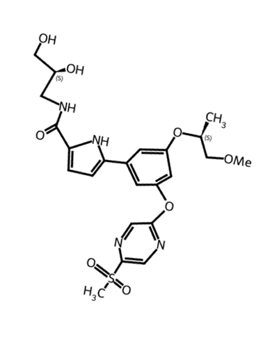 COC[C@H](C)Oc1cc(Oc2cnc(S(C)(=O)=O)cn2)cc(-c2ccc(C(=O)NC[C@H](O)CO)[nH]2)c1